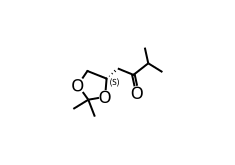 CC(C)C(=O)C[C@H]1COC(C)(C)O1